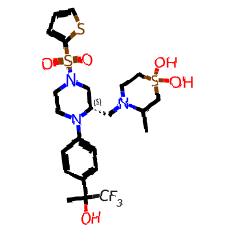 CC1CS(O)(O)CCN1C[C@H]1CN(S(=O)(=O)c2cccs2)CCN1c1ccc(C(C)(O)C(F)(F)F)cc1